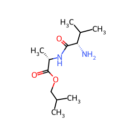 CC(C)COC(=O)[C@H](C)NC(=O)[C@@H](N)C(C)C